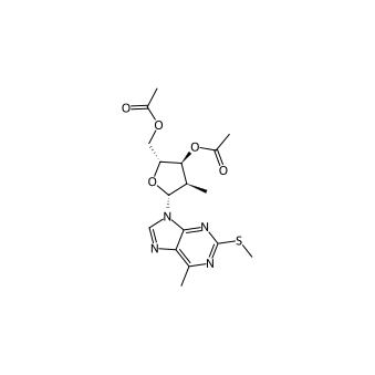 CSc1nc(C)c2ncn([C@@H]3O[C@H](COC(C)=O)[C@@H](OC(C)=O)[C@H]3C)c2n1